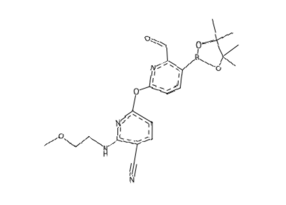 COCCNc1nc(Oc2ccc(B3OC(C)(C)C(C)(C)O3)c(C=O)n2)ccc1C#N